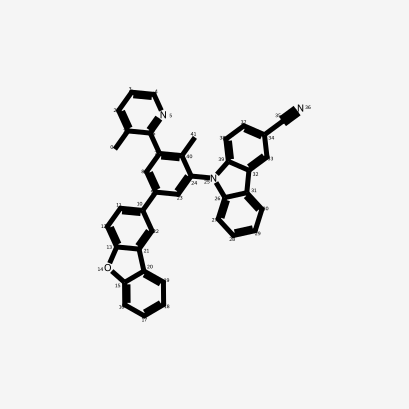 Cc1cccnc1-c1cc(-c2ccc3oc4ccccc4c3c2)cc(-n2c3ccccc3c3cc(C#N)ccc32)c1C